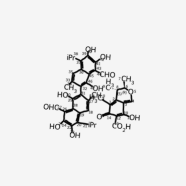 CC1=C2C(=CO[C@H](C)[C@H]2C)C(O)=C(C(=O)O)C1=O.Cc1cc2c(C(C)C)c(O)c(O)c(C=O)c2c(O)c1-c1c(C)cc2c(C(C)C)c(O)c(O)c(C=O)c2c1O